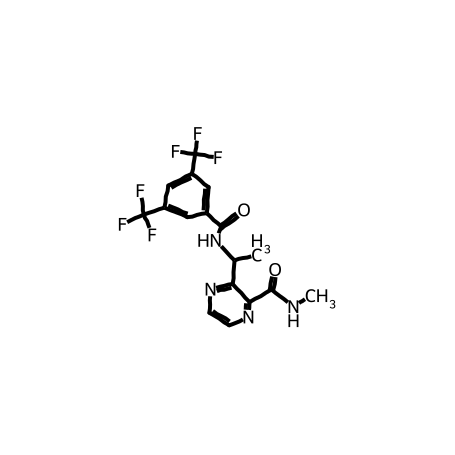 CNC(=O)c1nccnc1C(C)NC(=O)c1cc(C(F)(F)F)cc(C(F)(F)F)c1